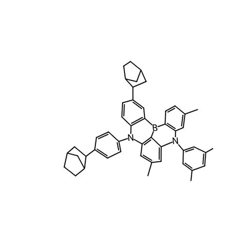 Cc1cc(C)cc(N2c3cc(C)ccc3B3c4cc(C5CC6CCC5C6)ccc4N(c4ccc(C5CC6CCC5C6)cc4)c4cc(C)cc2c43)c1